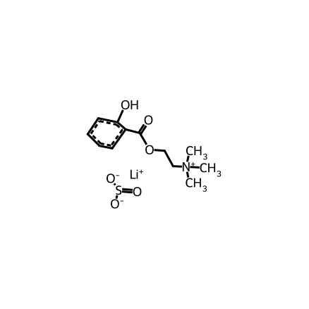 C[N+](C)(C)CCOC(=O)c1ccccc1O.O=S([O-])[O-].[Li+]